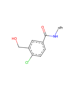 CCCNC(=O)c1ccc(Cl)c(CO)c1